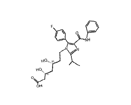 CC(C)c1nc(C(=O)Nc2ccccc2)c(-c2ccc(F)cc2)n1CC[C@@H](O)C[C@@H](O)CC(=O)O